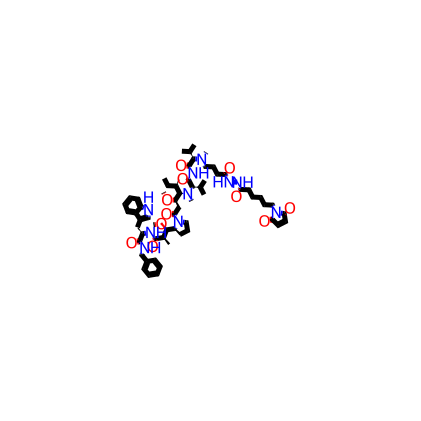 CC[C@H](C)[C@@H]([C@@H](CC(=O)N1CCC[C@H]1[C@H](OC)[C@@H](C)C(=O)N[C@@H](Cc1c[nH]c2ccccc12)C(=O)NCc1ccccc1)OC)N(C)[C@H](C(=O)NC(=O)[C@H](C(C)C)N(C)CCCC(=O)NNC(=O)CCCCCN1C(=O)C=CC1=O)C(C)C